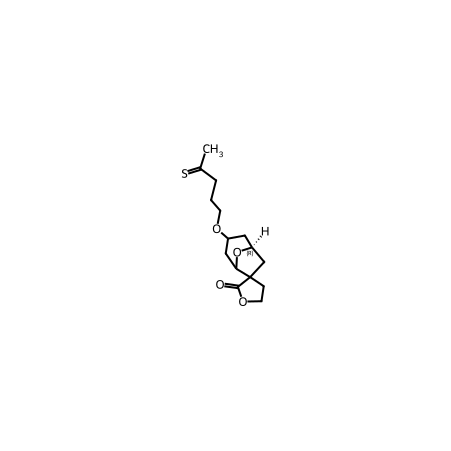 CC(=S)CCCOC1CC2O[C@@H](C1)CC21CCOC1=O